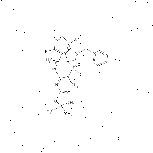 CN1/C(=N\C(=O)OC(C)(C)C)N[C@](C)(c2cc(Br)ccc2F)C2(CCN(Cc3ccccc3)C2)S1(=O)=O